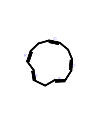 [C]1=C/C=C\C/C=C\C/C=C\C=C\C/1